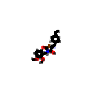 CCc1ccc(/C=C2\SC(=O)N(Cc3cccc(OC)c3OC)C2=O)cc1